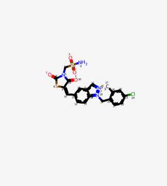 NS(=O)(=O)CN1C(=O)SC(=Cc2ccc3c(cnn3Cc3ccc(Cl)cc3C(F)(F)F)c2)C1=O